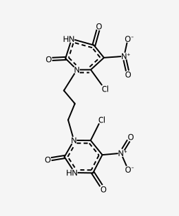 O=c1[nH]c(=O)n(CCCn2c(Cl)c([N+](=O)[O-])c(=O)[nH]c2=O)c(Cl)c1[N+](=O)[O-]